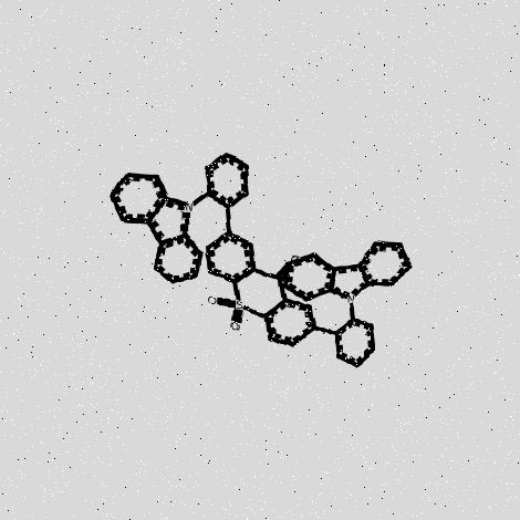 O=C1c2cc(-c3ccccc3-n3c4ccccc4c4ccccc43)ccc2S(=O)(=O)c2ccc(-c3ccccc3-n3c4ccccc4c4ccccc43)cc21